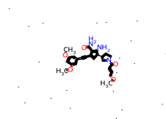 COC/C=C/C(=O)N1CC[C@H](C2C=C(C#Cc3cc(OC)cc(OC)c3)C(C(N)=O)=C2N)C1